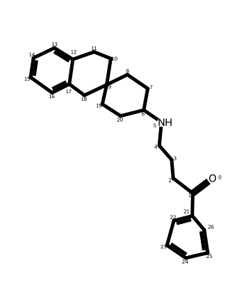 O=C(CCCNC1CCC2(CCc3ccccc3C2)CC1)c1ccccc1